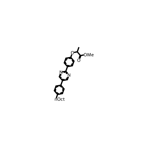 CCCCCCCCc1ccc(-c2cnc(-c3ccc(OC(C)C(=O)OC)cc3)nc2)cc1